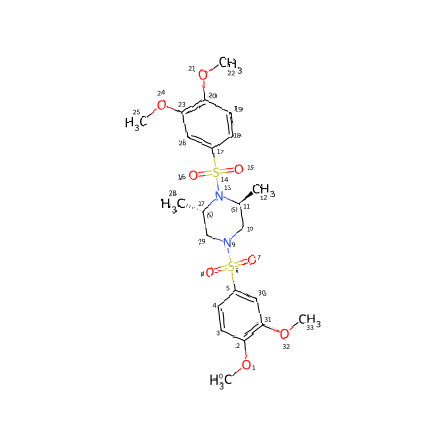 COc1ccc(S(=O)(=O)N2C[C@H](C)N(S(=O)(=O)c3ccc(OC)c(OC)c3)[C@@H](C)C2)cc1OC